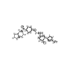 CC(C)n1ccc(-c2nc(NCOc3ccc(C(=O)N4CCN5CCCC5C4)cc3)ncc2Cl)n1